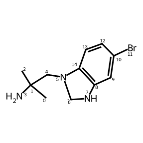 CC(C)(N)CN1[CH]Nc2cc(Br)ccc21